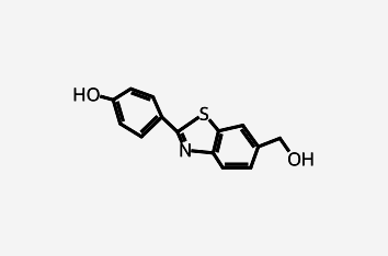 OCc1ccc2nc(-c3ccc(O)cc3)sc2c1